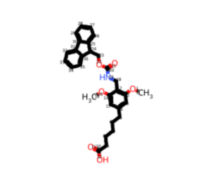 COc1cc(CCCCCC(=O)O)cc(OC)c1CNC(=O)OCC1c2ccccc2-c2ccccc21